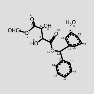 O.O=COC(=O)C(O)C(O)C(=O)OC(c1ccccc1)c1ccccc1